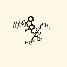 CCCOc1nc(Br)c(C=NO)n1Cc1ccc(-c2ccccc2C(=O)OC(C)(C)C)cc1F